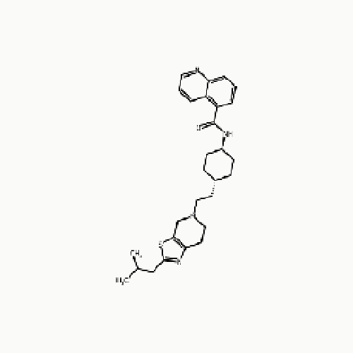 CC(C)Cc1nc2c(s1)CN(CC[C@H]1CC[C@H](NC(=O)c3cccc4ncccc34)CC1)CC2